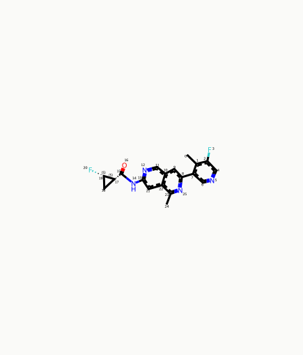 Cc1c(F)cncc1-c1cc2cnc(NC(=O)[C@@H]3C[C@@H]3F)cc2c(C)n1